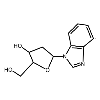 OCC1OC(n2cnc3[c]cccc32)CC1O